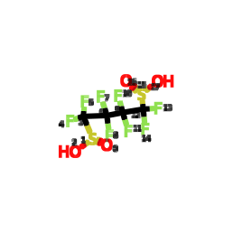 O=S(O)C(F)(F)C(F)(F)C(F)(F)C(F)(F)S(=O)O